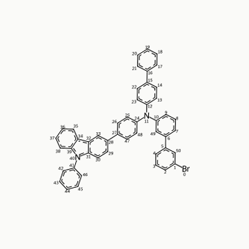 Brc1cccc(-c2cccc(N(c3ccc(-c4ccccc4)cc3)c3ccc(-c4ccc5c(c4)c4ccccc4n5-c4ccccc4)cc3)c2)c1